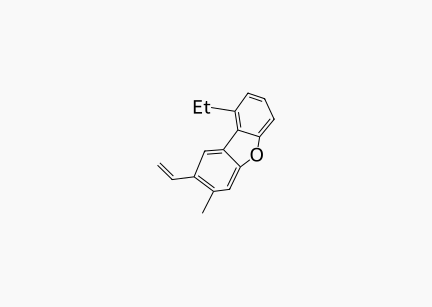 C=Cc1cc2c(cc1C)oc1cccc(CC)c12